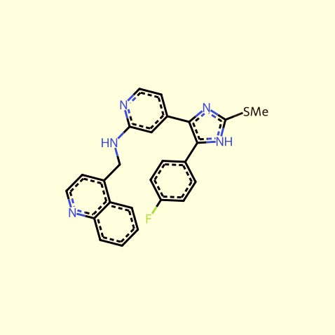 CSc1nc(-c2ccnc(NCc3ccnc4ccccc34)c2)c(-c2ccc(F)cc2)[nH]1